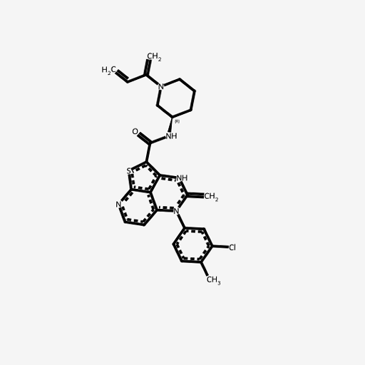 C=CC(=C)N1CCC[C@@H](NC(=O)c2sc3nccc4c3c2[nH]c(=C)n4-c2ccc(C)c(Cl)c2)C1